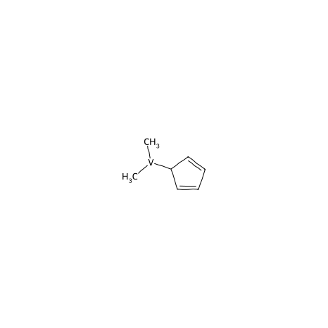 [CH3][V]([CH3])[CH]1C=CC=C1